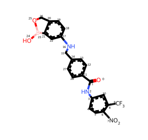 O=C(Nc1ccc([N+](=O)[O-])c(C(F)(F)F)c1)c1ccc(CNc2ccc3c(c2)B(O)OC3)cc1